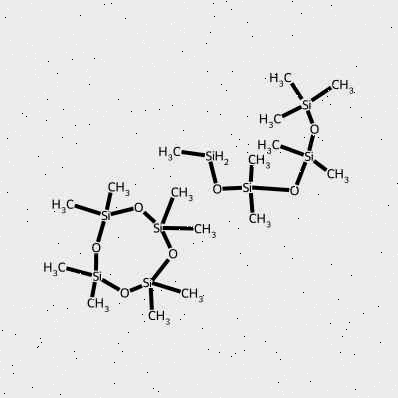 C[SiH2]O[Si](C)(C)O[Si](C)(C)O[Si](C)(C)C.C[Si]1(C)O[Si](C)(C)O[Si](C)(C)O[Si](C)(C)O1